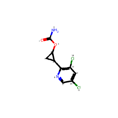 NC(=O)OC1CC1c1ncc(Cl)cc1Cl